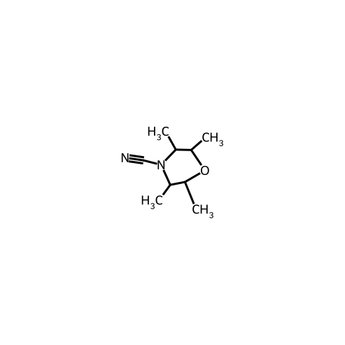 CC1OC(C)C(C)N(C#N)C1C